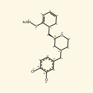 CC(=O)NSC1=NC=CCN1C[C@@H]1CN(Cc2ccc(Cl)c(Cl)c2)CCO1